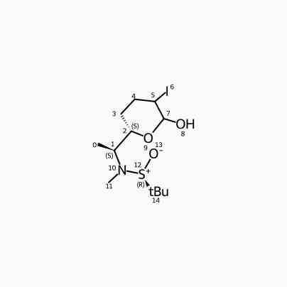 C[C@@H]([C@@H]1CCC(I)C(O)O1)N(C)[S@@+]([O-])C(C)(C)C